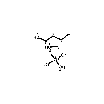 CCCCO.CO.[O-][Cl+3]([O-])([O-])O